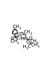 COC(=S)c1ccc(C)cc1OCC(C)(C)CNC(=O)OC(C)(C)C